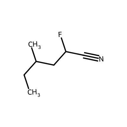 CCC(C)CC(F)C#N